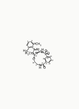 Cc1cccc(C)c1-c1nc2nc(c1C)OCCNC(=O)c1cccc(c1)S(=O)(=O)N2